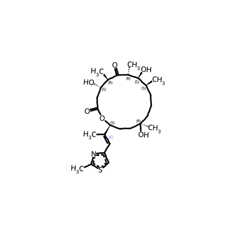 C/C(=C\c1csc(C)n1)[C@@H]1CC[C@](C)(O)CCC[C@H](C)[C@H](O)[C@@H](C)C(=O)[C@H](C)[C@@H](O)CC(=O)O1